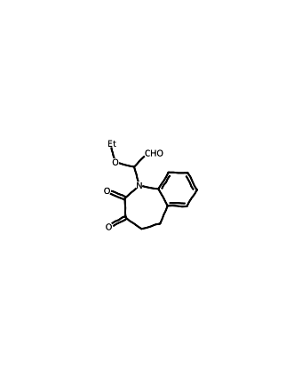 CCOC(C=O)N1C(=O)C(=O)CCc2ccccc21